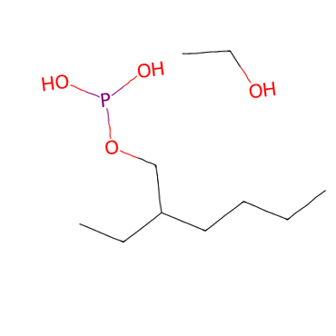 CCCCC(CC)COP(O)O.CCO